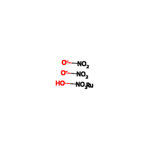 O=[N+]([O-])O.O=[N+]([O-])[O-].O=[N+]([O-])[O-].[Ru]